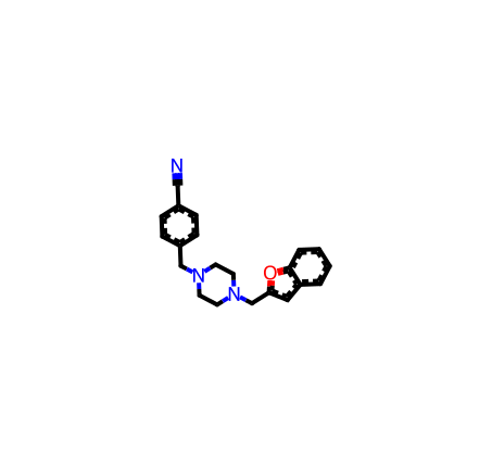 N#Cc1ccc(CN2CCN(Cc3cc4ccccc4o3)CC2)cc1